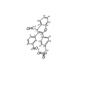 O=CC1C(c2cccc([N+](=O)[O-])c2)=C(c2ccc(C[SH](=O)=O)cc2)Oc2ccccc21